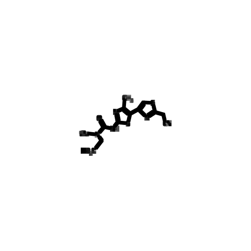 Cc1nc(NC(=O)N(CC(=O)O)C(C)(C)C)sc1-c1csc(CC#N)n1